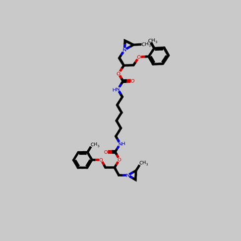 Cc1ccccc1OCC(CN1CC1C)OC(=O)NCCCCCCNC(=O)OC(COc1ccccc1C)CN1CC1C